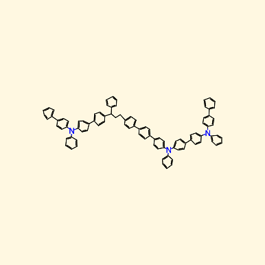 c1ccc(-c2ccc(N(c3ccccc3)c3ccc(-c4ccc(C(CCc5ccc(-c6ccc(-c7ccc(N(c8ccccc8)c8ccc(-c9ccc(N(c%10ccccc%10)c%10ccc(-c%11ccccc%11)cc%10)cc9)cc8)cc7)cc6)cc5)c5ccccc5)cc4)cc3)cc2)cc1